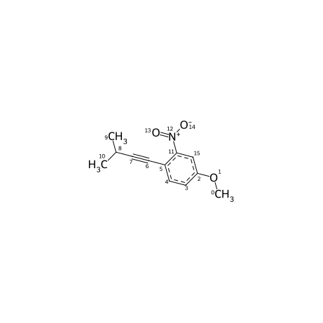 COc1ccc(C#CC(C)C)c([N+](=O)[O-])c1